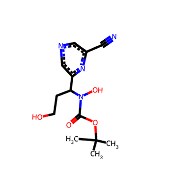 CC(C)(C)OC(=O)N(O)C(CCO)c1cncc(C#N)n1